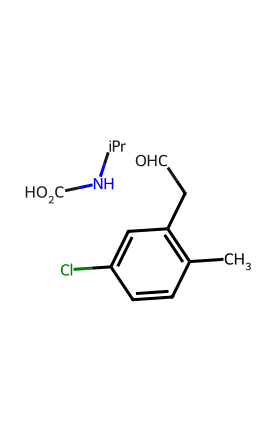 CC(C)NC(=O)O.Cc1ccc(Cl)cc1CC=O